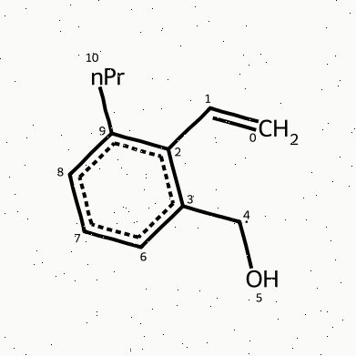 C=Cc1c([CH]O)cccc1CCC